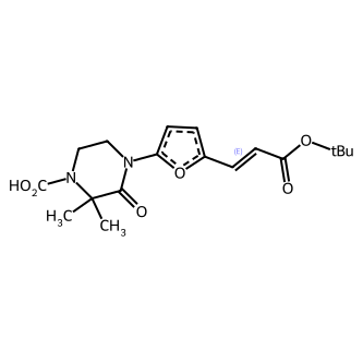 CC(C)(C)OC(=O)/C=C/c1ccc(N2CCN(C(=O)O)C(C)(C)C2=O)o1